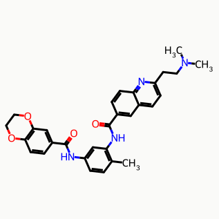 Cc1ccc(NC(=O)c2ccc3c(c2)OCCO3)cc1NC(=O)c1ccc2nc(CCN(C)C)ccc2c1